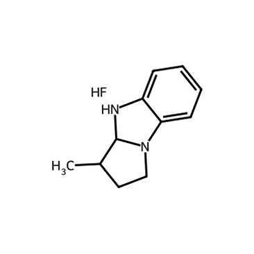 CC1CCN2c3ccccc3NC12.F